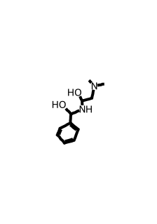 CN(C)CC(O)NC(O)c1ccccc1